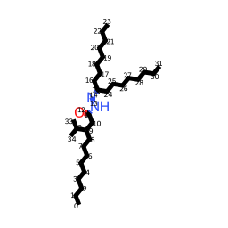 CCCCCCCCCC(CC(=O)NN=C(CCCCCCCC)CCCCCCCC)C(C)C